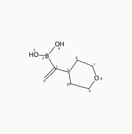 C=C(B(O)O)C1CCOCC1